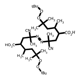 CC(CC(C)(C)OOC(C)(C)C)C(CC(C)(C#N)/N=N/C(C)(C#N)CC(C(=O)O)C(C)CC(C)(C)OOC(C)(C)C)C(=O)O